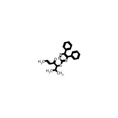 C/C=C/C(=O)C(Sc1nnc(-c2ccccc2)c(-c2ccccc2)n1)C(C)C